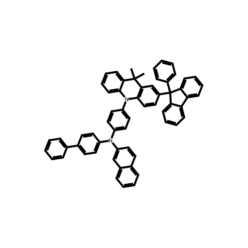 CC1(C)c2ccccc2N(c2ccc(N(c3ccc(-c4ccccc4)cc3)c3ccc4ccccc4c3)cc2)c2ccc(C3(c4ccccc4)c4ccccc4-c4ccccc43)cc21